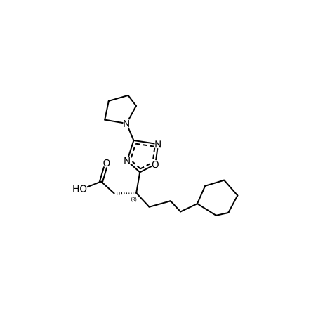 O=C(O)C[C@@H](CCCC1CCCCC1)c1nc(N2CCCC2)no1